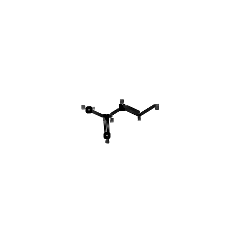 [CH2]C=N[N+](=O)[O-]